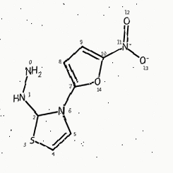 NNC1SC=CN1c1ccc([N+](=O)[O-])o1